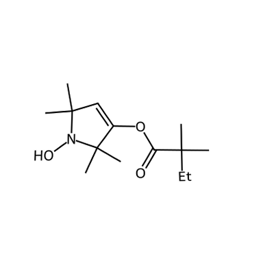 CCC(C)(C)C(=O)OC1=CC(C)(C)N(O)C1(C)C